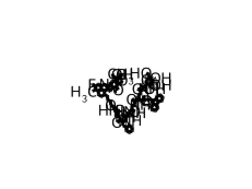 CC[C@@]1(O)C(=O)OCc2c1cc1n(c2=O)Cc2c-1nc1cc(F)c(C)c3c1c2C(CCCOCNC(=O)CNC(=O)[C@H](Cc1ccccc1)NC(=O)CNC(=O)CNC(=O)[C@H](CCC(=O)NC[C@@H]1O[C@H](CO)[C@@H](O)[C@H](O)[C@H]1O)NC(=O)OCC1c2ccccc2-c2ccccc21)CC3